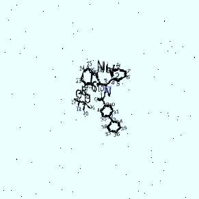 C=C(/N=C(/c1ccccc1)c1sc2c(B3OC(C)(C)C(C)(C)O3)cccc2c1N)c1ccc(-c2ccccc2)cc1